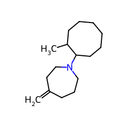 C=C1CCCN(C2CCCCCCC2C)CC1